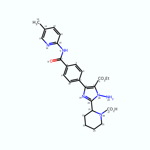 CCOC(=O)c1c(-c2ccc(C(=O)Nc3ccc(C)cn3)cc2)nc(C2CCCCN2C(=O)O)n1N